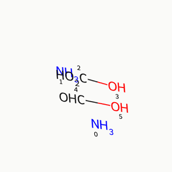 N.N.O=C(O)O.O=CO